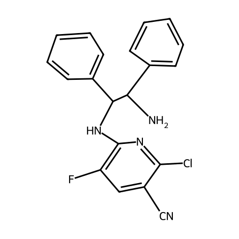 N#Cc1cc(F)c(NC(c2ccccc2)C(N)c2ccccc2)nc1Cl